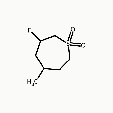 CC1CCS(=O)(=O)CC(F)C1